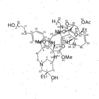 CC[C@]1(O)C[C@H]2CN(CCc3c([nH]c4ccc(SCC(=O)O)cc34)[C@@](C(=O)OC)(C3C=C4C(=CC3OC)N(C)[C@@]35O[C@]3(C(=O)OC)[C@H](OC(C)=O)[C@]3(CC)C=CCN6CC[C@]45[C@@H]63)C2)C1